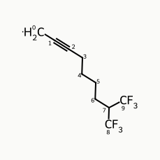 [CH2]C#CCCCCC(C(F)(F)F)C(F)(F)F